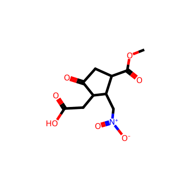 COC(=O)C1CC(=O)C(CC(=O)O)C1C[N+](=O)[O-]